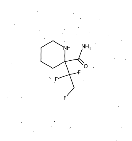 NC(=O)C1(C(F)(F)CF)CCCCN1